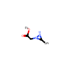 CCCC1NN1CC(=O)OCC